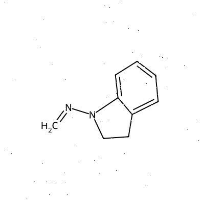 C=NN1CCc2ccccc21